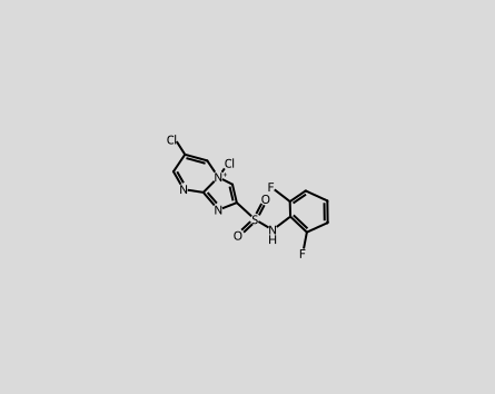 O=S(=O)(Nc1c(F)cccc1F)C1=C[N+]2(Cl)C=C(Cl)C=NC2=N1